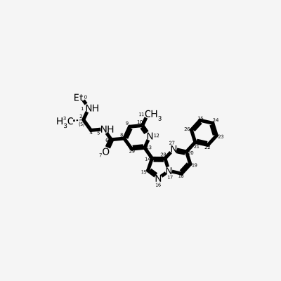 CCN[C@@H](C)CNC(=O)c1cc(C)nc(-c2cnn3ccc(-c4ccccc4)nc23)c1